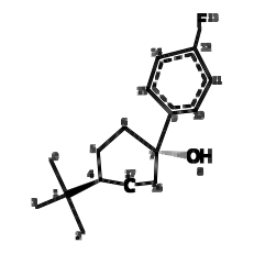 CC(C)(C)[C@H]1CC[C@@](O)(c2ccc(F)cc2)CC1